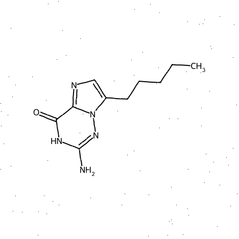 CCCCCc1cnc2c(=O)[nH]c(N)nn12